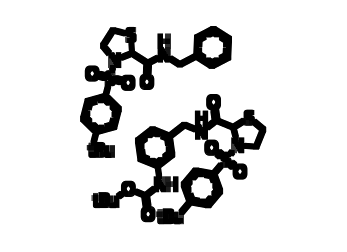 CC(C)(C)OC(=O)Nc1cccc(CNC(=O)C2SCCN2S(=O)(=O)c2ccc(C(C)(C)C)cc2)c1.CC(C)(C)c1ccc(S(=O)(=O)N2CCSC2C(=O)NCc2ccccc2)cc1